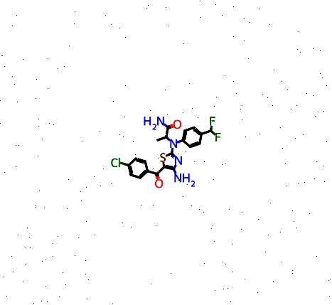 CC(C(N)=O)N(c1ccc(C(F)F)cc1)c1nc(N)c(C(=O)c2ccc(Cl)cc2)s1